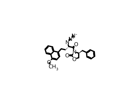 COc1ccc(CC[C@H](N=[N+]=[N-])C(=O)N2C(=O)OC[C@@H]2Cc2ccccc2)c2ccccc12